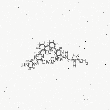 C=C1CC[C@@H](CNCc2ncc(-c3cccc(-c4cccc(-c5cnc(CN6CCNCC6)c(OC)n5)c4Cl)c3Cl)nc2OC)N1